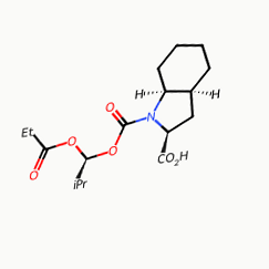 CCC(=O)O[C@@H](OC(=O)N1[C@H](C(=O)O)C[C@@H]2CCCC[C@@H]21)C(C)C